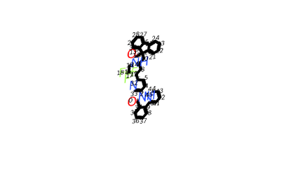 O=C(Nc1ccc(CCCCC2(C(=O)NCC(F)(F)F)c3ccccc3-c3ccccc32)nc1)c1ccccc1-c1ccccn1